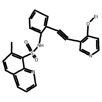 CCOc1ccncc1C#Cc1ccccc1NS(=O)(=O)c1c(C)ccc2cccnc12